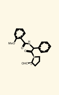 COc1ccccc1C(=O)NC(C(=O)N1CCC[C@H]1C=O)c1ccccc1